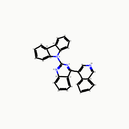 c1ccc2c(-c3nc(-n4c5ccccc5c5ccccc54)nc4ccccc34)cncc2c1